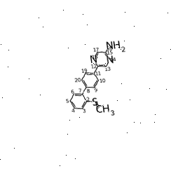 CSc1ccccc1-c1ccc(-c2cnc(N)cn2)cc1